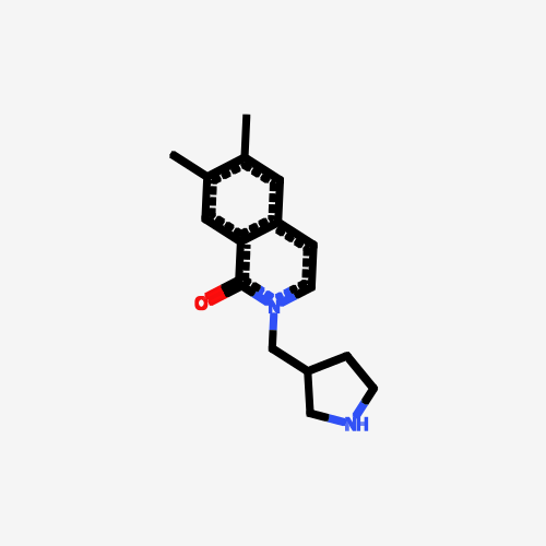 Cc1cc2ccn(CC3CCNC3)c(=O)c2cc1C